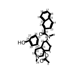 CC(=O)O[C@]12CC[C@H](N(C)C(=O)c3ccc4ccccc4c3)C[C@]1(c1cccc(O)c1)CCN(C)C2